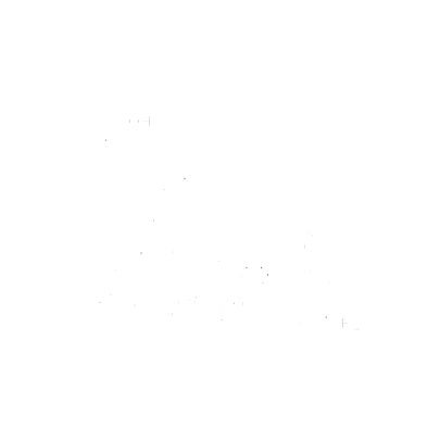 Cc1cc2c(-c3cccc(CCC(O)O)c3)c(CC(=O)Nc3ccc(F)cc3C(F)(F)F)c(=O)oc2cc1Cl